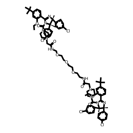 CCOc1cc(C(C)(C)C)ccc1C1=N[C@](C)(c2ccc(Cl)cc2)[C@](C)(c2ccc(Cl)cc2)N1C(=O)N1CCN(CC(=O)NCCOCCOCCOCNC(=O)CN2CCN(C(=O)N3C(c4ccc(C(C)(C)C)cc4OCC)=N[C@](C)(c4ccc(Cl)cc4)[C@]3(C)c3ccc(Cl)cc3)CC2)CC1